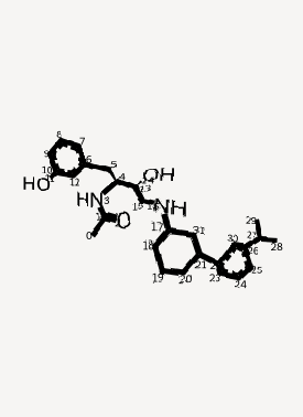 CC(=O)N[C@@H](Cc1cccc(O)c1)[C@H](O)CNC1CCCC(c2cccc(C(C)C)c2)C1